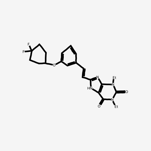 CCn1c(=O)c2[nH]c(C=Cc3cccc(OC4CCC(F)(F)CC4)c3)nc2n(CC)c1=O